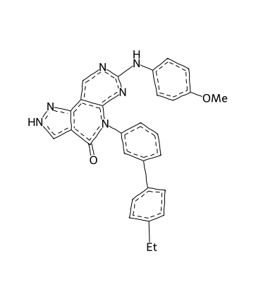 CCc1ccc(-c2cccc(-n3c(=O)c4c[nH]nc4c4cnc(Nc5ccc(OC)cc5)nc43)c2)cc1